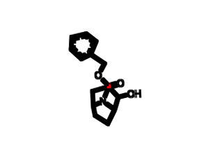 O=C(OCc1ccccc1)N1C2CCC(O)C1CC2